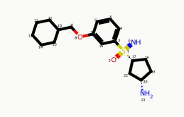 N=S(=O)(c1cccc(OCC2CCCCC2)c1)[C@@H]1CC[C@H](N)C1